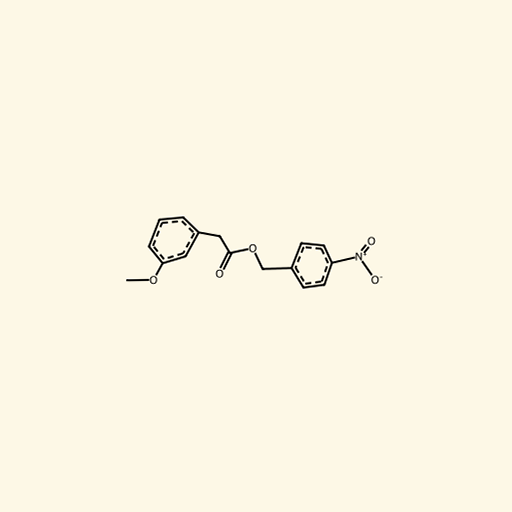 COc1cccc(CC(=O)OCc2ccc([N+](=O)[O-])cc2)c1